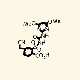 COc1cc(OC)nc(NC(=O)NS(=O)(=O)c2cc(CC#N)ccc2C(=O)O)n1